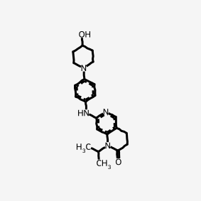 CC(C)N1C(=O)CCc2cnc(Nc3ccc(N4CCC(O)CC4)cc3)cc21